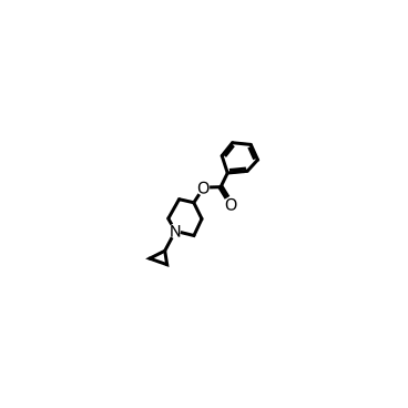 O=C(OC1CCN(C2CC2)CC1)c1ccccc1